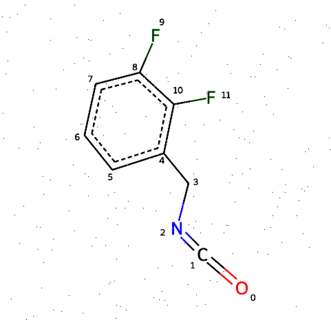 O=C=NCc1cccc(F)c1F